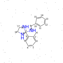 Cc1ccccc1C1(NCc2ccccc2)NCCN1